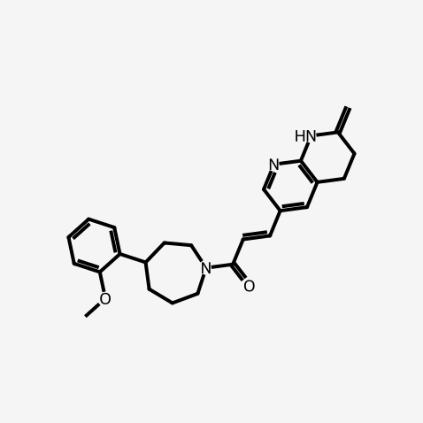 C=C1CCc2cc(/C=C/C(=O)N3CCCC(c4ccccc4OC)CC3)cnc2N1